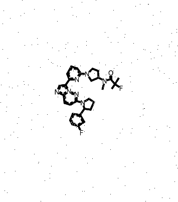 CN(C(=O)C(C)(C)F)C1CCN(c2cccc(-c3cnc4ccc(N5CCCC5c5cccc(F)c5)nn34)n2)C1